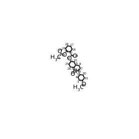 COc1ccc(-c2ccc3cc(OC(=O)c4ccccc4OC(C)=O)ccc3[n+]2[O-])cc1